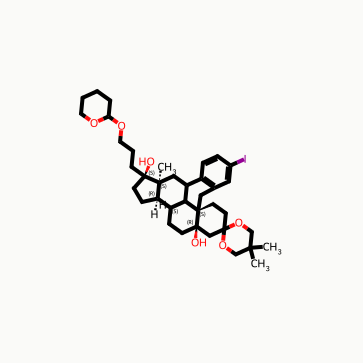 CC1(C)COC2(CC[C@@]34Cc5cc(I)ccc5C5C[C@@]6(C)[C@H](CC[C@]6(O)CCCOC6CCCCO6)[C@H](CC[C@@]3(O)C2)C54)OC1